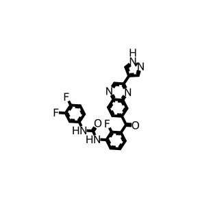 O=C(Nc1ccc(F)c(F)c1)Nc1cccc(C(=O)c2ccc3ncc(-c4cn[nH]c4)nc3c2)c1F